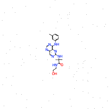 Cc1cccc(Nc2ncnc3cnc(NC(C)(C)C(=O)NCCO)nc23)c1